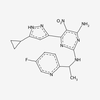 CC(Nc1nc(N)c([N+](=O)[O-])c(-c2cc(C3CC3)[nH]n2)n1)c1ccc(F)cn1